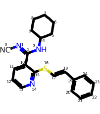 N#CN=C(NC1CCCCC1)c1cccnc1SC=Cc1ccccc1